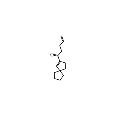 C=CCCC(=O)C1=CC2(CCCC2)CC1